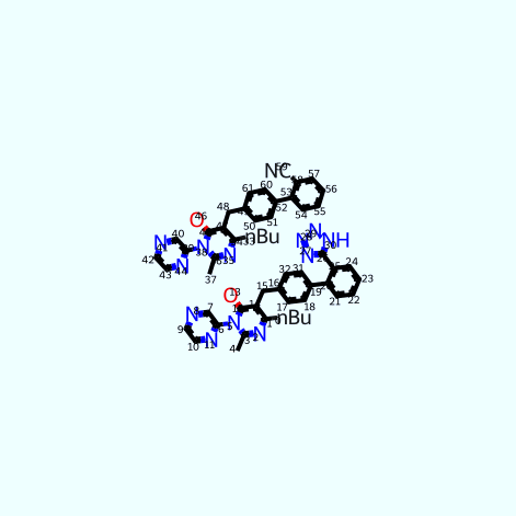 CCCCc1nc(C)n(-c2cnccn2)c(=O)c1Cc1ccc(-c2ccccc2-c2nnn[nH]2)cc1.CCCCc1nc(C)n(-c2cnccn2)c(=O)c1Cc1ccc(-c2ccccc2C#N)cc1